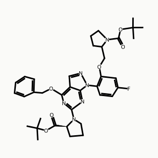 CC(C)(C)OC(=O)[C@@H]1CCCN1c1nc(OCc2ccccc2)c2cnn(-c3ccc(F)cc3OCC3CCCN3C(=O)OC(C)(C)C)c2n1